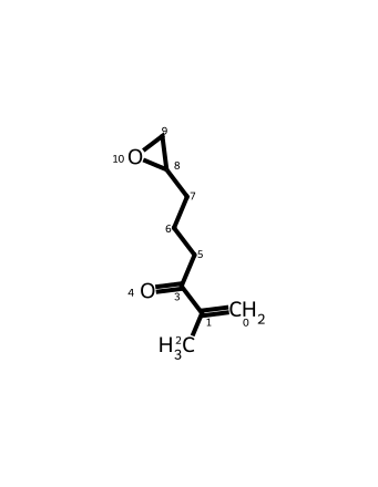 C=C(C)C(=O)CCCC1CO1